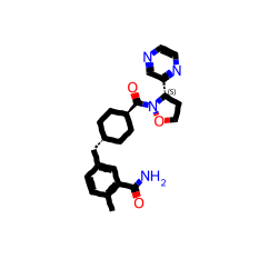 Cc1ccc(C[C@H]2CC[C@H](C(=O)N3OCC[C@H]3c3cnccn3)CC2)cc1C(N)=O